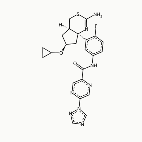 NC1=N[C@@]2(c3cc(NC(=O)c4cnc(-n5cncn5)cn4)ccc3F)C[C@@H](OC3CC3)C[C@H]2CS1